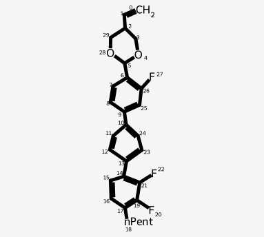 C=CC1COC(c2ccc(-c3ccc(-c4ccc(CCCCC)c(F)c4F)cc3)cc2F)OC1